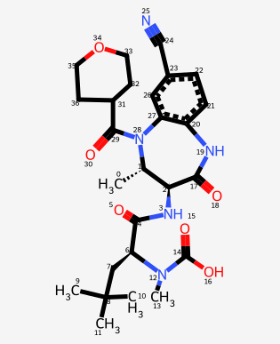 C[C@H]1[C@H](NC(=O)[C@H](CC(C)(C)C)N(C)C(=O)O)C(=O)Nc2ccc(C#N)cc2N1C(=O)C1CCOCC1